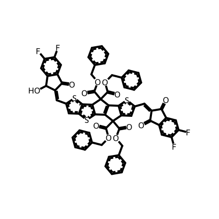 O=C1C(=Cc2cc3c(s2)C2=C(c4sc5cc(C=C6C(=O)c7cc(F)c(F)cc7C6O)sc5c4C2(C(=O)OCc2ccccc2)C(=O)OCc2ccccc2)C3(C(=O)OCc2ccccc2)C(=O)OCc2ccccc2)C(=O)c2cc(F)c(F)cc21